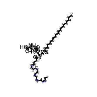 CC/C=C\C/C=C\C/C=C\C/C=C\C/C=C\CCCC(=O)O[C@H](COC(=O)CCCCCCCCCCCCCCCCCCCCC)COP(=O)(O)OC[C@H](N)C(=O)O